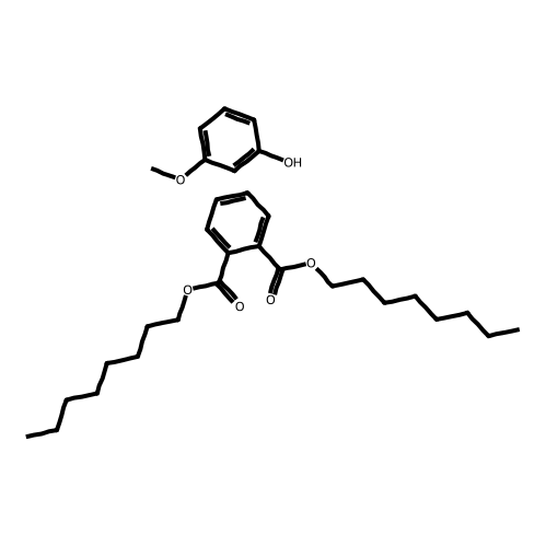 CCCCCCCCOC(=O)c1ccccc1C(=O)OCCCCCCCC.COc1cccc(O)c1